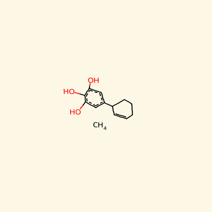 C.Oc1cc(C2C=CCCC2)cc(O)c1O